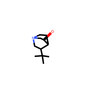 CC(C)(C)C1CN2CCC1C(=O)C2